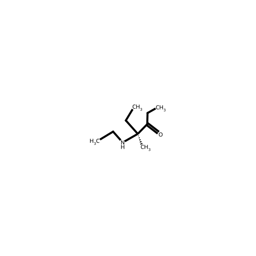 CCN[C@@](C)(CC)C(=O)CC